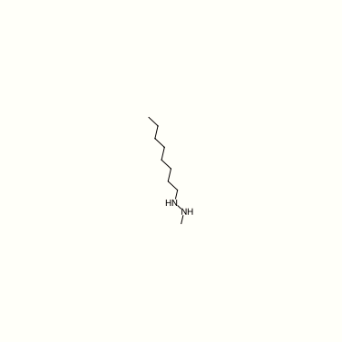 CCCCCCCCNNC